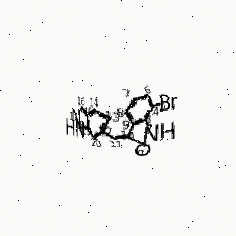 O=C1Nc2c(Br)cccc2/C1=C\c1ccc2cn[nH]c2c1